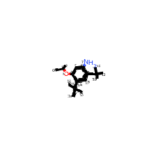 CC(C)Oc1cc(N)c(C(C)(C)C)cc1C(C)(C)C